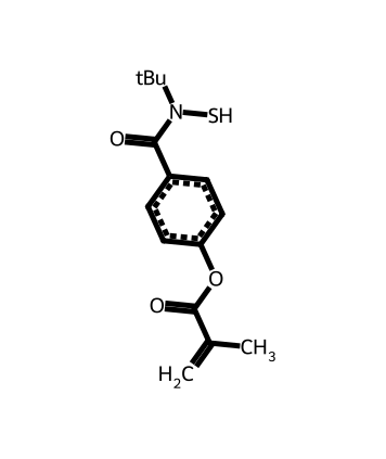 C=C(C)C(=O)Oc1ccc(C(=O)N(S)C(C)(C)C)cc1